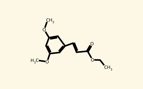 CCOC(=O)C=Cc1cc(OC)cc(OC)c1